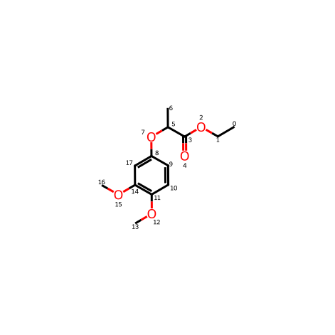 CCOC(=O)C(C)Oc1ccc(OC)c(OC)c1